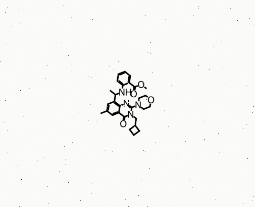 COC(=O)c1ccccc1NC(C)c1cc(C)cc2c(=O)n(CC3CCC3)c(N3CCOCC3)nc12